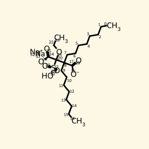 CCCCCCCCC(CCCCCCCC)(C(=O)[O-])C(OCC)(C(=O)[O-])S(=O)(=O)O.[Na+].[Na+]